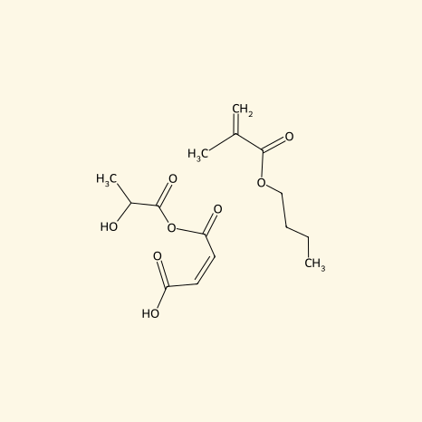 C=C(C)C(=O)OCCCC.CC(O)C(=O)OC(=O)/C=C\C(=O)O